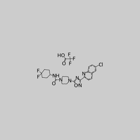 O=C(NC1CCC(F)(F)CC1)N1CCN(c2nc(-c3ccc4cc(Cl)ccc4n3)no2)CC1.O=C(O)C(F)(F)F